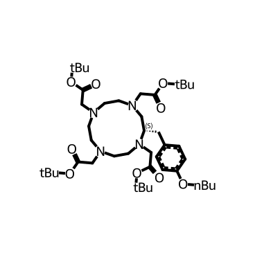 CCCCOc1ccc(C[C@H]2CN(CC(=O)OC(C)(C)C)CCN(CC(=O)OC(C)(C)C)CCN(CC(=O)OC(C)(C)C)CCN2CC(=O)OC(C)(C)C)cc1